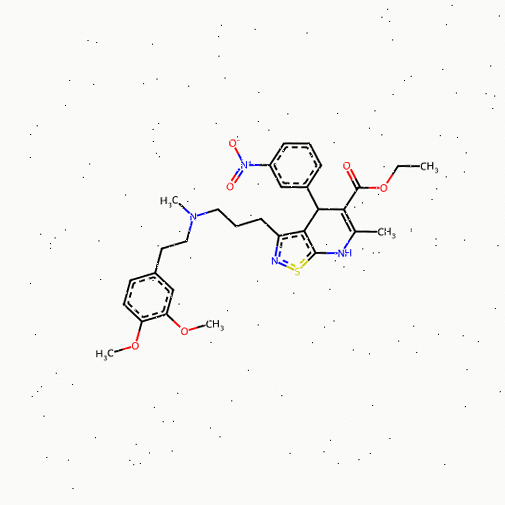 CCOC(=O)C1=C(C)Nc2snc(CCCN(C)CCc3ccc(OC)c(OC)c3)c2C1c1cccc([N+](=O)[O-])c1